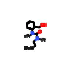 [CH2]CCN(C(=O)N(CCOC)C(C)C)c1ccccc1CO